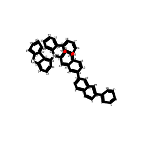 c1ccc(-c2ccc3ccc(-c4ccc5ccc(N(c6ccccc6-c6ccccc6)c6cccc7oc8ccccc8c67)cc5c4)cc3c2)cc1